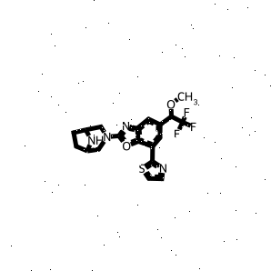 COC(c1cc(-c2nccs2)c2oc(N3CC4CCC(C3)N4)nc2c1)C(F)(F)F